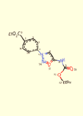 CCOC(=O)c1ccc(-[n+]2cc(NC(=O)OC(C)(C)C)on2)cc1